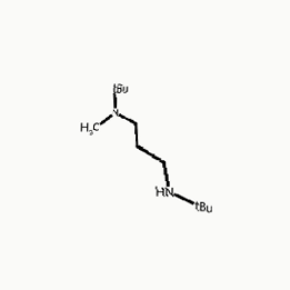 CN(CCCNC(C)(C)C)C(C)(C)C